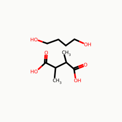 CC(C(=O)O)C(C)C(=O)O.OCCCCO